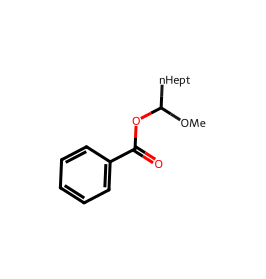 CCCCCCCC(OC)OC(=O)c1ccccc1